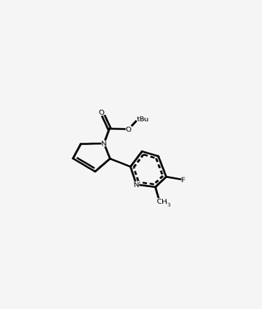 Cc1nc(C2C=CCN2C(=O)OC(C)(C)C)ccc1F